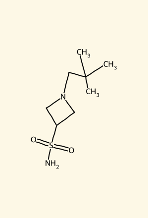 CC(C)(C)CN1CC(S(N)(=O)=O)C1